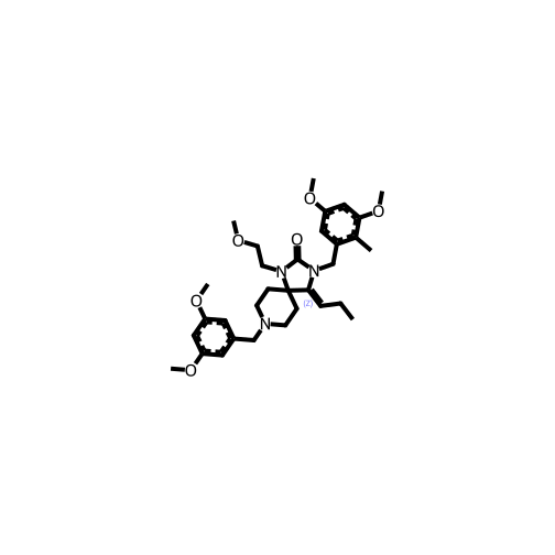 CC/C=C1\N(Cc2cc(OC)cc(OC)c2C)C(=O)N(CCOC)C12CCN(Cc1cc(OC)cc(OC)c1)CC2